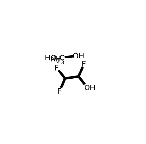 N.O=C(O)O.OC(F)C(F)F